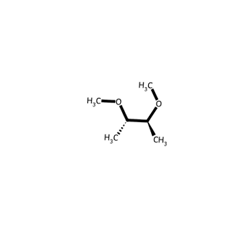 CO[C@@H](C)[C@H](C)OC